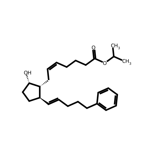 CC(C)OC(=O)CCC/C=C\C[C@H]1[C@@H](O)CC[C@@H]1/C=C/CCCc1ccccc1